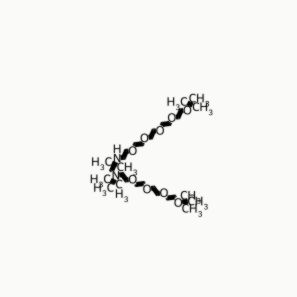 CC(C)(CN(CCOCCOCCOCCOC(C)(C)C)C(C)(C)C)NCCOCCOCCOCCOCCOC(C)(C)C